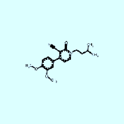 COc1ccc(-c2ccn(CCC(C)C)c(=O)c2C#N)cc1OC